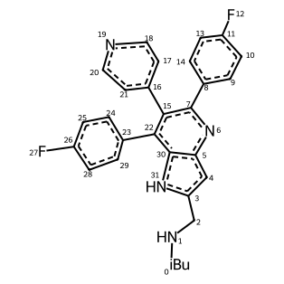 CCC(C)NCc1cc2nc(-c3ccc(F)cc3)c(-c3ccncc3)c(-c3ccc(F)cc3)c2[nH]1